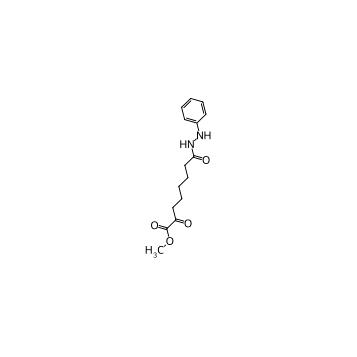 COC(=O)C(=O)CCCCCC(=O)NNc1ccccc1